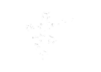 CC(C)c1nc(CN(C)C(=O)N[C@H](C(=O)N[C@@H](Cc2ccccc2)C[C@H](OC(=O)COCCOCCO)[C@H](Cc2ccccc2)NC(=O)OCc2cncs2)C(C)C)cs1